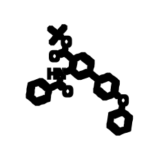 CC(C)(C)OC(=O)c1ccc(-c2ccc(Oc3ccccc3)cc2)cc1NC(=O)c1ccccc1